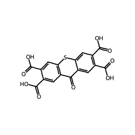 O=C(O)c1cc2sc3cc(C(=O)O)c(C(=O)O)cc3c(=O)c2cc1C(=O)O